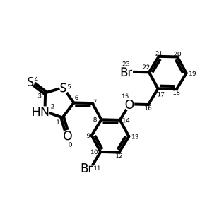 O=C1NC(=S)SC1=Cc1cc(Br)ccc1OCc1ccccc1Br